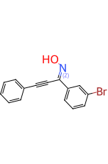 O/N=C(\C#Cc1ccccc1)c1cccc(Br)c1